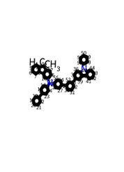 CC1(C)c2ccccc2-c2cc(N(c3ccc(-c4ccccc4)cc3)c3ccc(-c4cccc(-c5ccc6c(c5)c5ccccc5n6-c5ccccc5)c4)cc3)ccc21